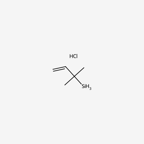 C=CC(C)(C)[SiH3].Cl